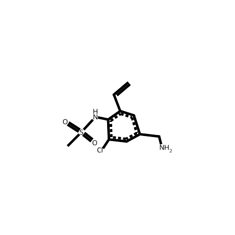 C=Cc1cc(CN)cc(Cl)c1NS(C)(=O)=O